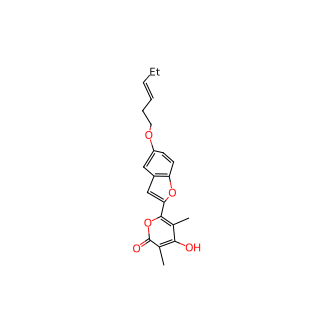 CCC=CCCOc1ccc2oc(-c3oc(=O)c(C)c(O)c3C)cc2c1